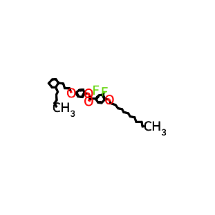 CCCCCCCCCCCCOc1ccc(C(=O)Oc2ccc(OCCCC3CCCCC3CCCCC)cc2)c(F)c1F